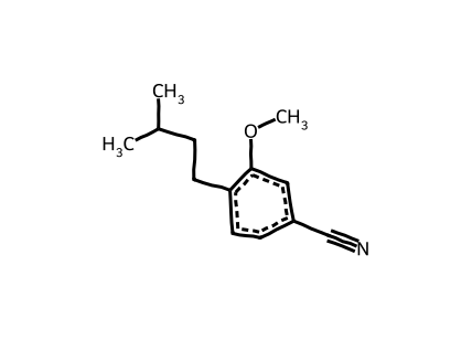 COc1cc(C#N)ccc1CCC(C)C